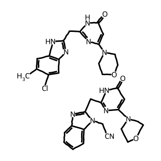 Cc1cc2[nH]c(Cc3nc(N4CCOCC4)cc(=O)[nH]3)nc2cc1Cl.N#CCn1c(Cc2nc(N3CCOCC3)cc(=O)[nH]2)nc2ccccc21